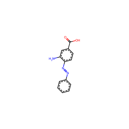 Nc1cc(C(=O)O)ccc1N=Nc1ccccc1